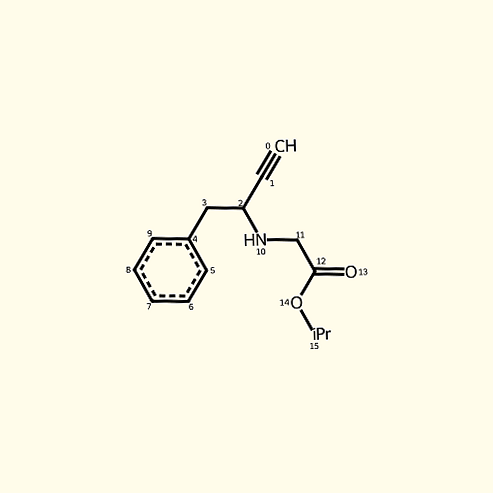 C#CC(Cc1ccccc1)NCC(=O)OC(C)C